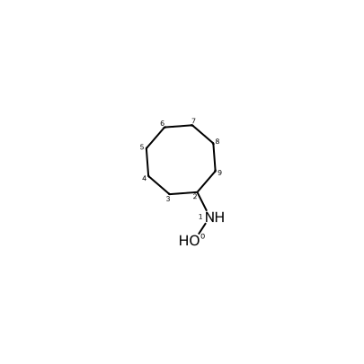 ONC1CCCCCCC1